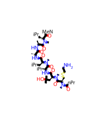 CCCC(=O)N(C)[C@H](CSCCN)C(=O)N(C)[C@@H](CC(C)(C)O)C(=O)N[C@H](C(=O)N(C)[C@@H](CC(C)C)C(=O)N[C@H](C)C(=O)N[C@@H](C)C(=O)N(C)[C@@H](CC(C)C)C(=O)NC)C(C)C